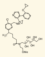 COCCN(C[C@@H](O)[C@H](O)[C@@H](O)[C@@H](O)CO)C(=O)CCCC(C)c1ccc(Cl)c(CNC2(c3cnccc3-c3ccccc3OC3CC3)CC2)c1